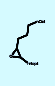 CCCCCCCCCCCC1OC1CCCCCCC